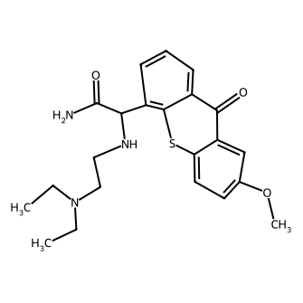 CCN(CC)CCNC(C(N)=O)c1cccc2c(=O)c3cc(OC)ccc3sc12